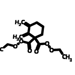 C=C1CCCC(C(=O)OOCC)(C(=O)OOCC)C1=C